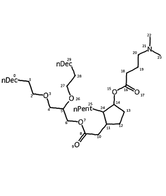 CCCCCCCCCCCCOCC(COC(=O)CC1CCC(OC(=O)CCCN(C)C)C1CCCCC)OCCCCCCCCCCCC